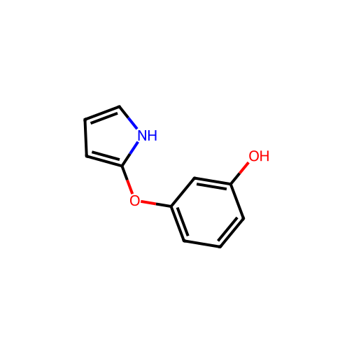 Oc1cccc(Oc2ccc[nH]2)c1